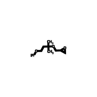 CC(C)OCCC(C)(C)OCC1CO1